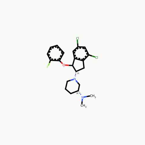 CN(C)[C@@H]1CCCN([C@H]2Cc3c(Cl)cc(Cl)cc3C2Oc2ccccc2F)C1